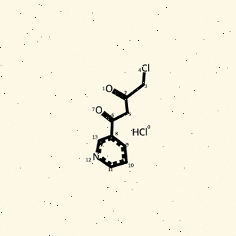 Cl.O=C(CCl)CC(=O)c1cccnc1